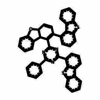 C1=CC2Oc3ccccc3C2C(c2nc(-c3ccccc3)nc(-c3cccc4c3sc3ccccc34)n2)=C1c1cccc2sc3ccccc3c12